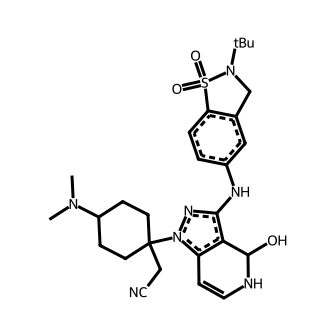 CN(C)C1CCC(CC#N)(n2nc(Nc3ccc4c(c3)CN(C(C)(C)C)S4(=O)=O)c3c2C=CNC3O)CC1